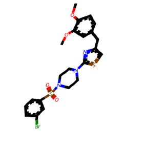 COc1ccc(Cc2csc(N3CCN(S(=O)(=O)c4cccc(Br)c4)CC3)n2)cc1OC